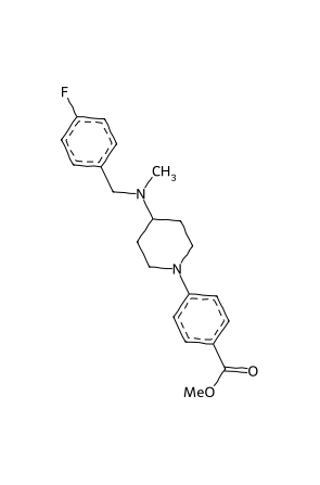 COC(=O)c1ccc(N2CCC(N(C)Cc3ccc(F)cc3)CC2)cc1